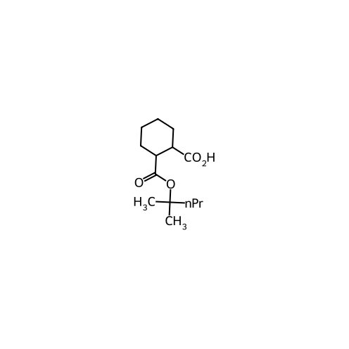 CCCC(C)(C)OC(=O)C1CCCCC1C(=O)O